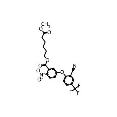 COC(=O)CCCCCOC(=O)c1cc(Oc2ccc(C(F)(F)F)cc2C#N)ccc1[N+](=O)[O-]